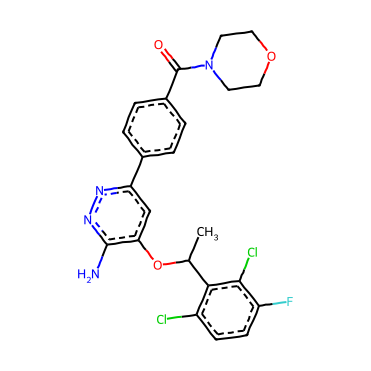 CC(Oc1cc(-c2ccc(C(=O)N3CCOCC3)cc2)nnc1N)c1c(Cl)ccc(F)c1Cl